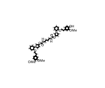 COc1cc(CCO[C@@H]2CCCC[C@H]2N2CC[C@@H](OC(=O)NCCCCNC(=O)O[C@@H]3CCN(C4CCCC[C@H]4OCCc4ccc(OC)c(OC)c4)C3)C2)ccc1O